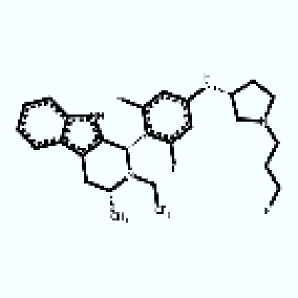 C[C@@H]1Cc2c([nH]c3ccccc23)[C@H](c2c(F)cc(N[C@@H]3CCN(CCCF)C3)cc2F)N1CC(F)(F)F